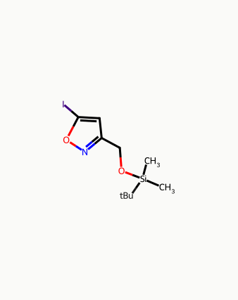 CC(C)(C)[Si](C)(C)OCc1cc(I)on1